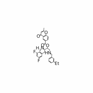 CCc1cccc(CNCC(OC(=O)c2ccc3oc(C)cc(=O)c3c2)C(N)Cc2cc(F)cc(F)c2)c1